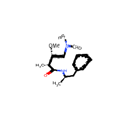 CCCN(C=O)C[C@@H](OC)[C@@H](C)C(=O)N[C@H](C)Cc1ccccc1